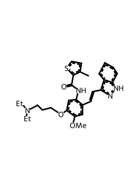 CCN(CC)CCCOc1cc(NC(=O)c2sccc2C)c(/C=C/c2n[nH]c3ccccc23)cc1OC